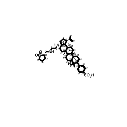 C=C(C)[C@@H]1CC[C@]2(NCCNC[C@@H]3CCCS3(=O)=O)CC[C@]3(C)[C@H](CC[C@@H]4[C@@]5(C)CC=C(c6ccc(C(=O)O)cc6)C(C)(C)[C@@H]5CC[C@]43C)[C@@H]12